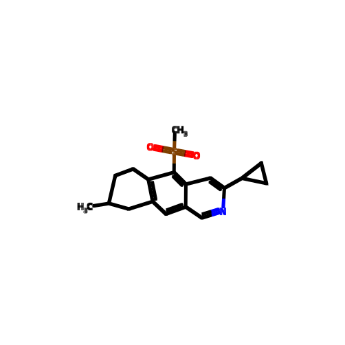 CC1CCc2c(cc3cnc(C4CC4)cc3c2S(C)(=O)=O)C1